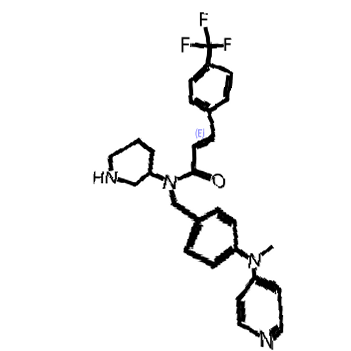 CN(c1ccncc1)c1ccc(CN(C(=O)/C=C/c2ccc(C(F)(F)F)cc2)C2CCCNC2)cc1